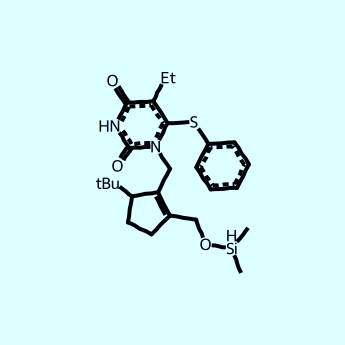 CCc1c(Sc2ccccc2)n(CC2=C(CO[SiH](C)C)CCC2C(C)(C)C)c(=O)[nH]c1=O